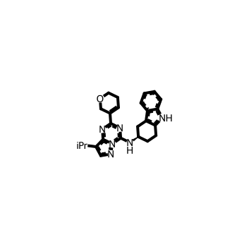 CC(C)c1cnn2c(N[C@@H]3CCc4[nH]c5ccccc5c4C3)nc(C3=CCCOC3)nc12